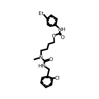 CCc1ccc(NC(=O)OCCCCN(C)C(=O)NCc2ccccc2Cl)cc1